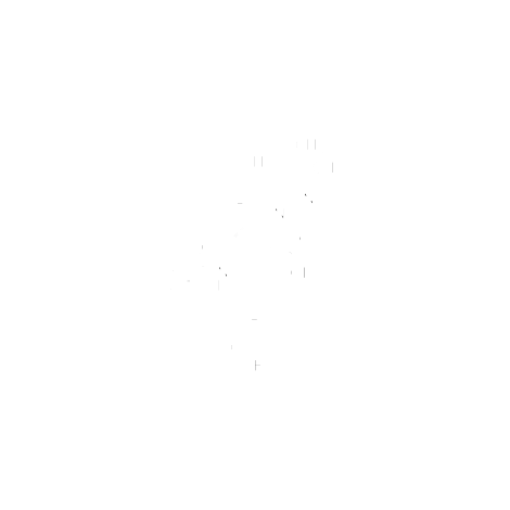 CC(C)(C)c1cn(-c2c(F)cc(NC(=O)C3(c4ccc(OC(F)(F)F)cc4F)CC3)cc2C(=O)O)cn1